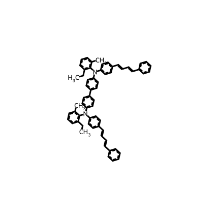 CCc1cccc(C)c1N(c1ccc(C=CC=Cc2ccccc2)cc1)c1ccc(-c2ccc(N(c3ccc(C=CC=Cc4ccccc4)cc3)c3c(C)cccc3CC)cc2)cc1